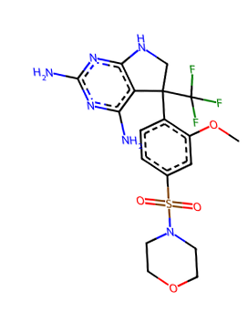 COc1cc(S(=O)(=O)N2CCOCC2)ccc1C1(C(F)(F)F)CNc2nc(N)nc(N)c21